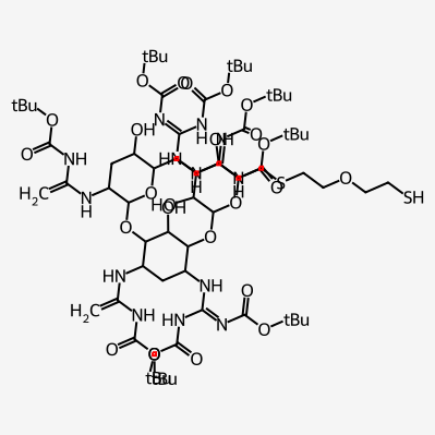 C=C(NC(=O)OC(C)(C)C)NC1CC(O)C(CNC(=NC(=O)OC(C)(C)C)NC(=O)OC(C)(C)C)OC1OC1C(NC(=C)NC(=O)OC(C)(C)C)CC(N/C(=N\C(=O)OC(C)(C)C)NC(=O)OC(C)(C)C)C(OC2OC(CSCCOCCS)C(O)C(N/C(=N/C(=O)OC(C)(C)C)NC(=O)OC(C)(C)C)C2O)C1O